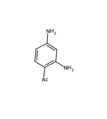 CC(=O)c1ccc(N)cc1N